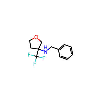 FC(F)(F)C1(NCc2ccccc2)CCOC1